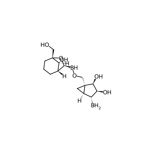 B[C@H]1[C@H](O)[C@H](O)[C@]2(COB[C@@H]3O[C@@]4(CO)CCC[C@@H]3[C@@H]4O)C[C@H]12